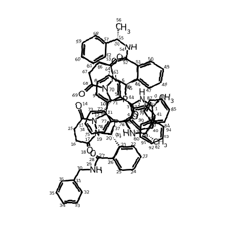 C[C@H](NC(=O)c1ccccc1[C@@H]1N2C(=O)CCC(=O)N2[C@@H](c2ccccc2C(=O)NCc2ccccc2)P1c1ccccc1P1[C@H](c2ccccc2C(=O)N[C@@H](C)c2ccccc2)N2C(=O)CCC(=O)N2[C@H]1c1ccccc1C(=O)N[C@@H](C)c1ccccc1)c1ccccc1